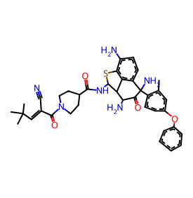 Cc1cc(Oc2ccccc2)ccc1C1(N)C(=O)C(N)C2c3c1ccc(N)c3SC2NC(=O)C1CCN(C(=O)/C(C#N)=C/C(C)(C)C)CC1